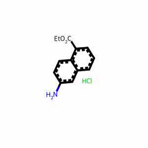 CCOC(=O)c1cccc2cc(N)ccc12.Cl